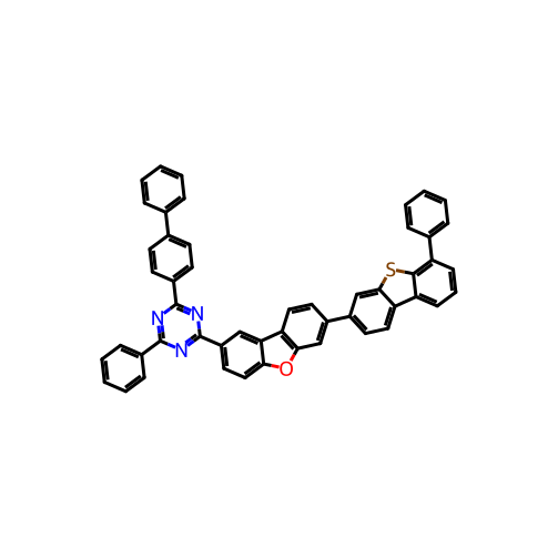 c1ccc(-c2ccc(-c3nc(-c4ccccc4)nc(-c4ccc5oc6cc(-c7ccc8c(c7)sc7c(-c9ccccc9)cccc78)ccc6c5c4)n3)cc2)cc1